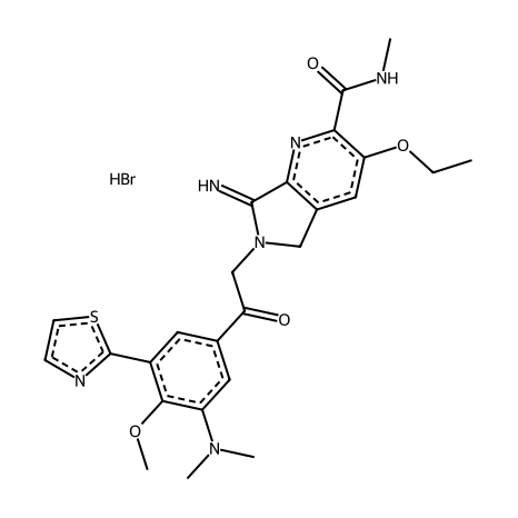 Br.CCOc1cc2c(nc1C(=O)NC)C(=N)N(CC(=O)c1cc(-c3nccs3)c(OC)c(N(C)C)c1)C2